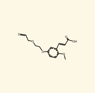 COc1ccc(OCCOCC=O)cc1C=CC(=O)O